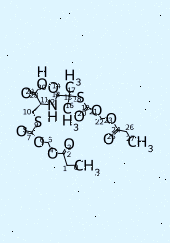 CCC(=O)OCOC(=O)SC[C@H](NC(=O)C(C)(C)SC(=O)OCOC(=O)CC)C(=O)O